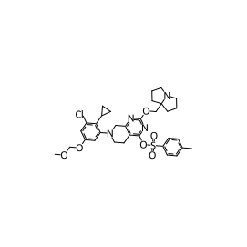 COCOc1cc(Cl)c(C2CC2)c(N2CCc3c(nc(OCC45CCCN4CCC5)nc3OS(=O)(=O)c3ccc(C)cc3)C2)c1